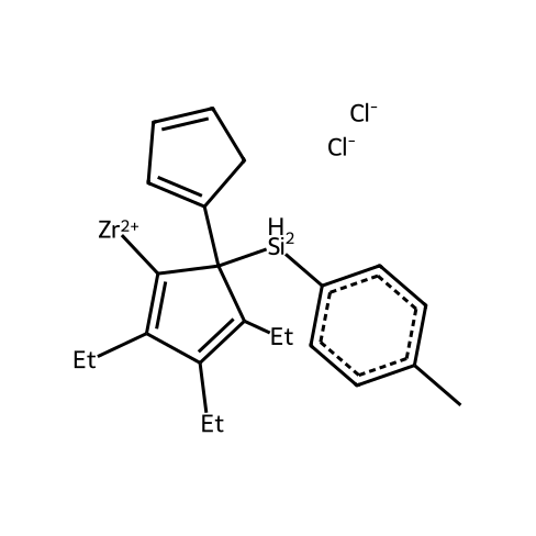 CCC1=[C]([Zr+2])C([SiH2]c2ccc(C)cc2)(C2=CC=CC2)C(CC)=C1CC.[Cl-].[Cl-]